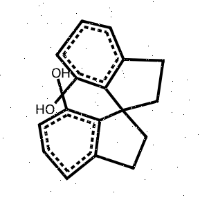 Oc1cccc2c1C1(CC2)CCc2cccc(O)c21